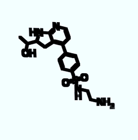 CC(O)C1Cc2c(-c3ccc(S(=O)(=O)NCCN)cc3)ccnc2N1